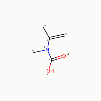 C=C(C)N(C)C(=O)O